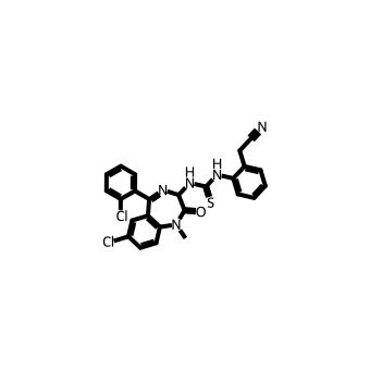 CN1C(=O)C(NC(=S)Nc2ccccc2CC#N)N=C(c2ccccc2Cl)c2cc(Cl)ccc21